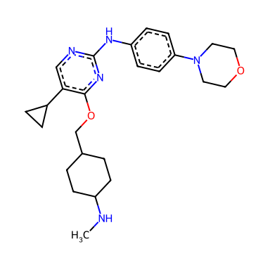 CNC1CCC(COc2nc(Nc3ccc(N4CCOCC4)cc3)ncc2C2CC2)CC1